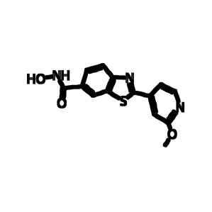 COc1cc(-c2nc3ccc(C(=O)NO)cc3s2)ccn1